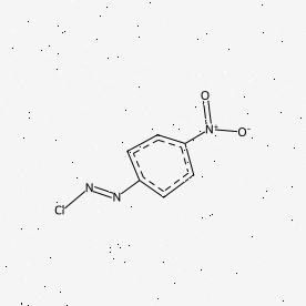 O=[N+]([O-])c1ccc(/N=N/Cl)cc1